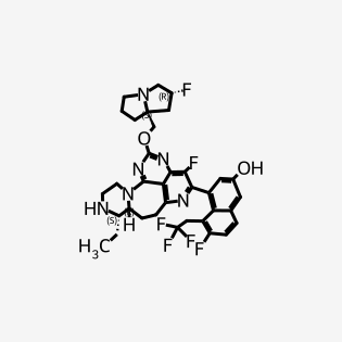 CC[C@@H]1NCCN2c3nc(OC[C@@]45CCCN4C[C@H](F)C5)nc4c(F)c(-c5cc(O)cc6ccc(F)c(CC(F)(F)F)c56)nc(c34)CC[C@H]12